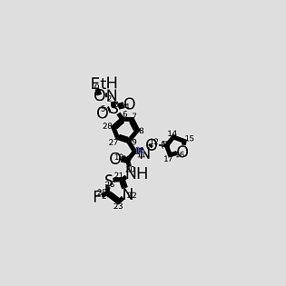 CCONS(=O)(=O)c1ccc(/C(=N\O[C@@H]2CCOC2)C(=O)Nc2ncc(F)s2)cc1